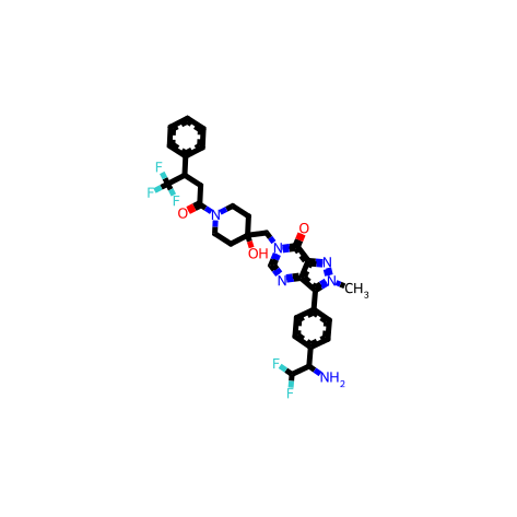 Cn1nc2c(=O)n(CC3(O)CCN(C(=O)CC(c4ccccc4)C(F)(F)F)CC3)cnc2c1-c1ccc(C(N)C(F)F)cc1